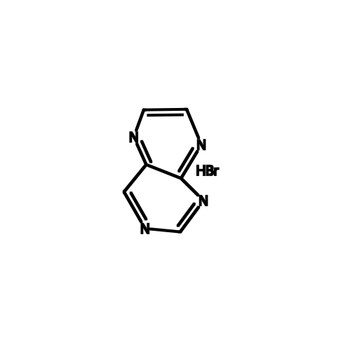 Br.c1cnc2ncncc2n1